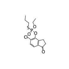 CCCSP(=O)(OCC)Oc1c(Cl)ccc2c1CCC2=O